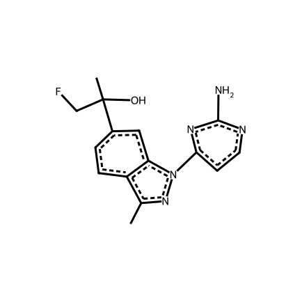 Cc1nn(-c2ccnc(N)n2)c2cc(C(C)(O)CF)ccc12